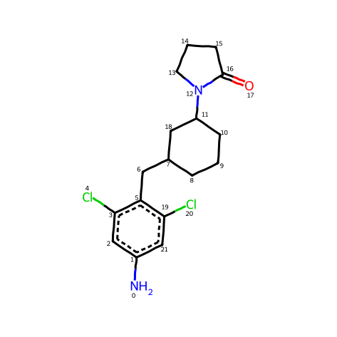 Nc1cc(Cl)c(CC2CCCC(N3CCCC3=O)C2)c(Cl)c1